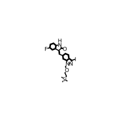 C[Si](C)(C)CCOCn1nc(I)c2ccc(C=C3C(=O)Nc4ccc(F)cc43)cc21